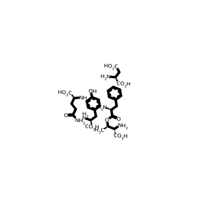 C[C@@H](OC(=O)[C@@H](N)Cc1ccccc1)[C@H](N)C(=O)O.NC(=O)CC[C@H](N)C(=O)O.N[C@@H](CC(=O)O)C(=O)O.N[C@@H](Cc1ccc(O)cc1)C(=O)O